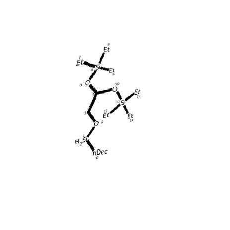 CCCCCCCCCC[SiH2]OCC(O[Si](CC)(CC)CC)O[Si](CC)(CC)CC